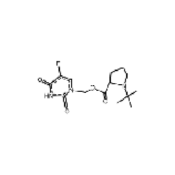 CC(C)(C)N1CCCC1C(=O)OCn1cc(F)c(=O)[nH]c1=O